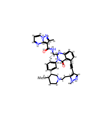 CNC1CCN(CCc2c(C#Cc3cccc4nc([C@H](C)NC(=O)c5c(C)nn6cccnc56)n(-c5ccccc5)c(=O)c34)cnn2C)CC1